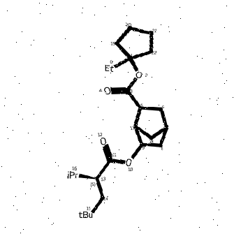 CCC1(OC(=O)C2CC3CC(OC(=O)[C@@H](CC(C)(C)C)C(C)C)C2C3)CCCC1